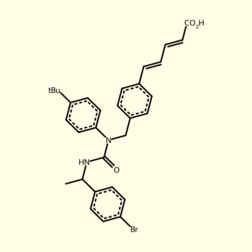 CC(NC(=O)N(Cc1ccc(C=CC=CC(=O)O)cc1)c1ccc(C(C)(C)C)cc1)c1ccc(Br)cc1